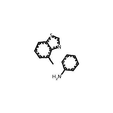 Cc1cccc2scnc12.Nc1ccccc1